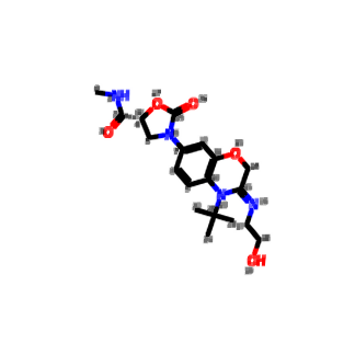 CNC(=O)[C@H]1CN(c2ccc3c(c2)OCC(=NCCO)N3C(C)(C)C)C(=O)O1